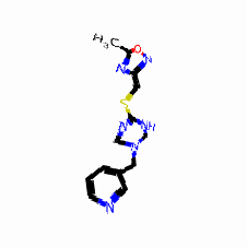 Cc1nc(CSC2=NCN(Cc3cccnc3)CN2)no1